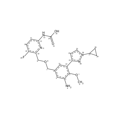 COc1c(N)cc(COCc2nc(NC(=O)O)ccc2F)cc1-c1ccn(C2CC2)n1